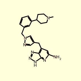 CN1CCC(c2cccc(Cn3cc(Cc4cc(N)nc5[nH]nnc45)cn3)c2)CC1